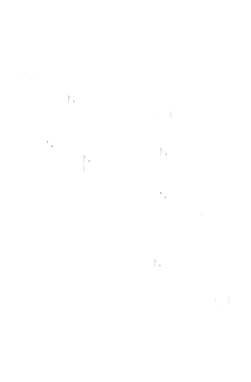 Cc1cc(Nc2cnc(C(F)(F)F)cn2)c2ccc(-c3ncc(C(=O)O)cc3Cl)nc2n1